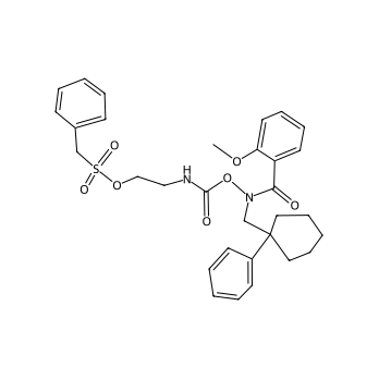 COc1ccccc1C(=O)N(CC1(c2ccccc2)CCCCC1)OC(=O)NCCOS(=O)(=O)Cc1ccccc1